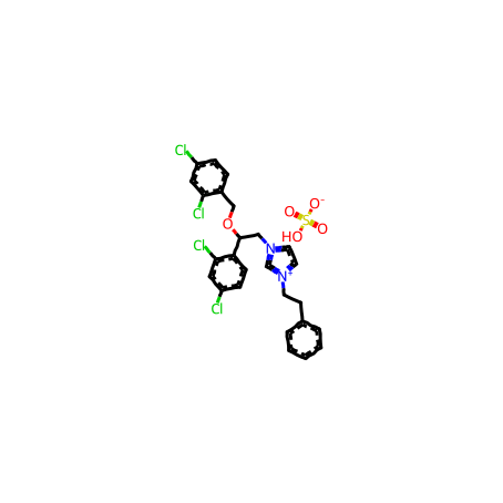 Clc1ccc(COC(Cn2cc[n+](CCc3ccccc3)c2)c2ccc(Cl)cc2Cl)c(Cl)c1.O=S(=O)([O-])O